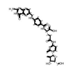 C=C1[C@@H](O)[C@@H](CO)O[C@H]1N1C=CC(NC(=O)CC[C@H](NC(=O)c2ccc(NCc3cnc4nc(N)[nH]c(=O)c4n3)cc2)C(=O)O)=NC1=C